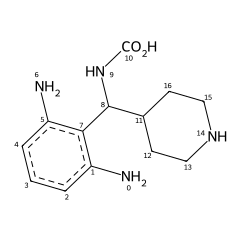 Nc1cccc(N)c1C(NC(=O)O)C1CCNCC1